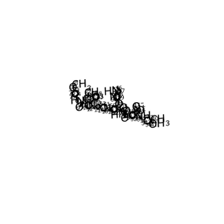 COc1ccc(CNC(=O)N2CCN(C3CC4(CCN(c5ccc(C(=O)NS(=O)(=O)c6ccc(NC[C@H]7CC[C@](C)(O)CC7)c([N+](=O)[O-])c6)c(Oc6cnc7[nH]ccc7c6)c5)CC4)C3)C(c3ccccc3C(C)C)C2)cc1